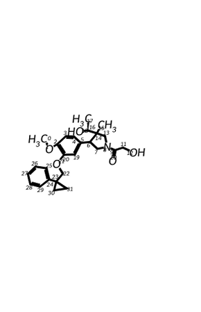 COc1ccc(C2CN(C(=O)CO)CC2(C)[C@H](C)O)cc1OCC1(c2ccccc2)CC1